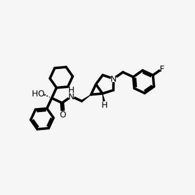 O=C(NC[C@H]1C2CN(Cc3cccc(F)c3)C[C@@H]21)[C@@](O)(c1ccccc1)C1CCCCC1